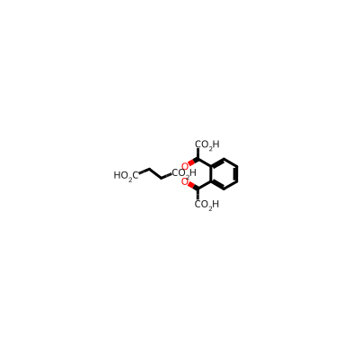 O=C(O)C(=O)c1ccccc1C(=O)C(=O)O.O=C(O)CCC(=O)O